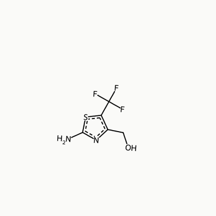 Nc1nc(CO)c(C(F)(F)F)s1